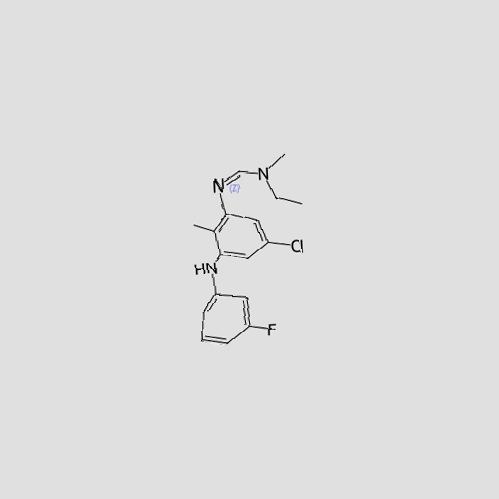 CCN(C)/C=N\c1cc(Cl)cc(Nc2cccc(F)c2)c1C